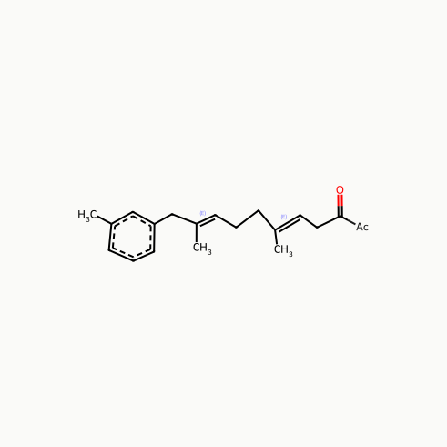 CC(=O)C(=O)C/C=C(\C)CC/C=C(\C)Cc1cccc(C)c1